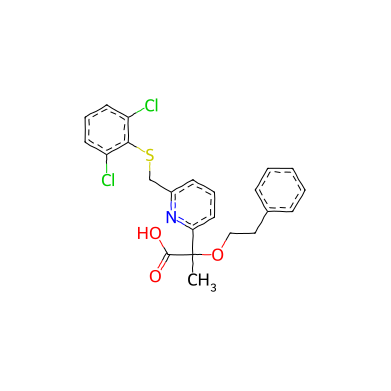 CC(OCCc1ccccc1)(C(=O)O)c1cccc(CSc2c(Cl)cccc2Cl)n1